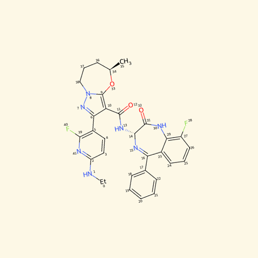 CCNc1ccc(-c2nn3c(c2C(=O)N[C@H]2N=C(c4ccccc4)c4cccc(F)c4NC2=O)O[C@H](C)CCC3)c(F)n1